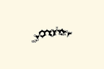 CC(C)(C)OC(=O)N1CCC(Cc2cncc(Nc3cc(OC(F)F)[nH]n3)n2)CC1